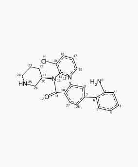 Nc1ccccc1-c1ccc(C(=O)N(c2ncccc2Cl)[C@@H]2CCCNC2)cc1